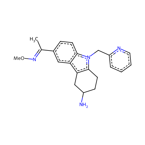 CON=C(C)c1ccc2c(c1)c1c(n2Cc2ccccn2)CCC(N)C1